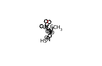 CC(C)CN(C[C@@H](O)[C@H](Cc1ccccc1)N(Cc1ccccc1)Cc1ccccc1)S(=O)(=O)c1ccc2nc(S)oc2c1